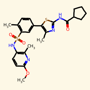 COc1ccc(NS(=O)(=O)c2cc(-c3sc(NC(=O)C4CCCC4)nc3C)ccc2C)c(C)n1